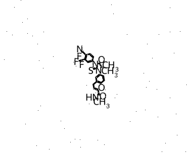 CNC(=O)C1=CCc2cc(N3C(=S)N(c4ccc(C#N)c(C(F)(F)F)c4)C(=O)C3(C)C)ccc2O1